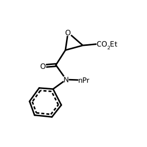 CCCN(C(=O)C1OC1C(=O)OCC)c1ccccc1